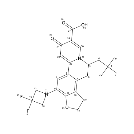 CC(C)(C)CC1Cc2c(cc(N3CC(F)(F)C3)c3c2CCO3)-c2cc(=O)c(C(=O)O)cn21